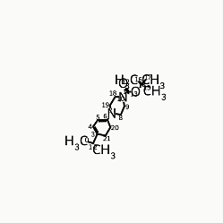 CC(C)C1=CC=C(N2CCN(C(=O)OC(C)(C)C)CC2)CC1